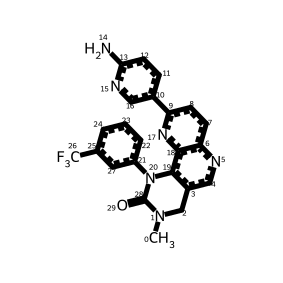 CN1Cc2cnc3ccc(-c4ccc(N)nc4)nc3c2N(c2cccc(C(F)(F)F)c2)C1=O